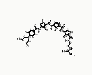 Cc1cc(C(=O)Nc2c[nH]c(C(=O)Nc3c[nH]c(C(=O)Nc4c[nH]c(C(=O)NCCNC(=N)N)c4C)c3C)c2C)ccc1N(CCCl)CCCl